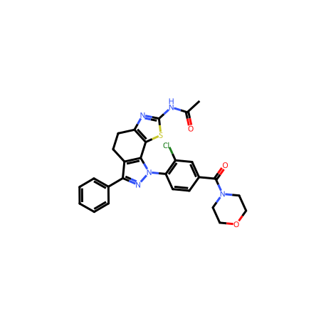 CC(=O)Nc1nc2c(s1)-c1c(c(-c3ccccc3)nn1-c1ccc(C(=O)N3CCOCC3)cc1Cl)CC2